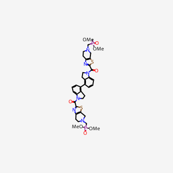 COP(=O)(CN1CCc2nc(C(=O)N3CCc4c(-c5cccc6c5CCN6C(=O)c5nc6c(s5)CN(CP(=O)(OC)OC)CC6)cccc43)sc2C1)OC